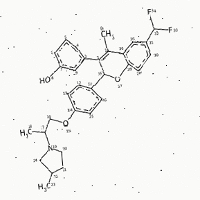 CC1=C(c2cccc(O)c2)C(c2ccc(OCC(C)N3CCC(C)C3)cc2)Oc2ccc(C(F)F)cc21